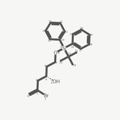 C=C(Br)C[C@@H](O)CCO[Si](c1ccccc1)(c1ccccc1)C(C)(C)C